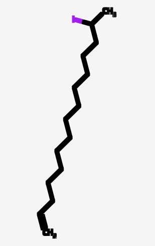 C=CCCCCCCCCCCCC(C)I